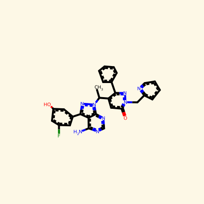 CC(c1cc(=O)n(Cc2ccccn2)nc1-c1ccccc1)n1nc(-c2cc(O)cc(F)c2)c2c(N)ncnc21